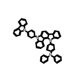 C1=CC(n2c3ccccc3c3c4c(ccc32)c2ccccc2n4-c2ccc(N(c3ccccc3)c3ccccc3)cc2)CC=C1n1c2ccccc2c2ccccc21